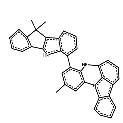 Cc1cc(-c2cccc3c4c([nH]c23)-c2ccccc2C4(C)C)c2c(c1)-n1c3ccccc3c3cccc(c31)B2